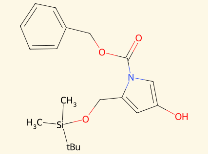 CC(C)(C)[Si](C)(C)OCc1cc(O)cn1C(=O)OCc1ccccc1